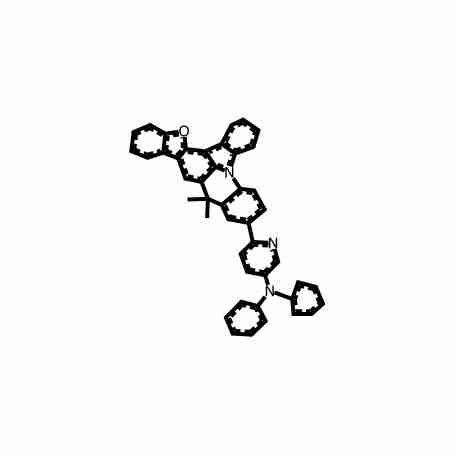 CC1(C)c2cc(-c3ccc(N(c4ccccc4)c4ccccc4)cn3)ccc2-n2c3ccccc3c3c4oc5ccccc5c4cc1c32